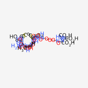 CCCC[C@H](NC(=O)CCC(=O)NCCCOCCOCCOCCCNC(=O)CCC(C(=O)O)N1CCN(CC(=O)O)CCN(CC(=O)O)CC1)C(=O)N[C@H]1CSCc2cccc(c2)CSCC(C(=O)O)NC(=O)[C@H](CCc2ccccc2)NC(=O)[C@H](CCC(N)=O)NC(=O)[C@H]([C@@H](C)O)NC(=O)[C@@H]2CCCN2C(=O)[C@@H]2CCCN2C1=O